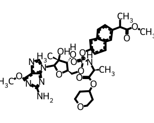 COC(=O)C(C)c1ccc2cc(OP(=O)(N[C@@H](C)C(=O)OC3CCOCC3)OC[C@H]3OC(n4cnc5c(OC)nc(N)nc54)[C@](C)(O)[C@@H]3O)ccc2c1